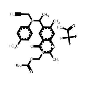 C#CCN(c1ccc(C(=O)O)cc1)C(C)c1cc2c(=O)n(COC(=O)C(C)(C)C)c(C)nc2cc1C.O=C(O)C(F)(F)F